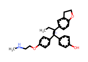 CC/C(=C(/c1ccc(O)cc1)c1ccc(OCCNC)cc1)c1ccc2c(c1)CCO2